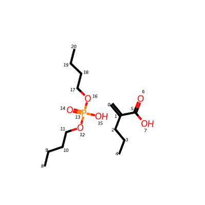 C=C(CCC)C(=O)O.CCCCOP(=O)(O)OCCCC